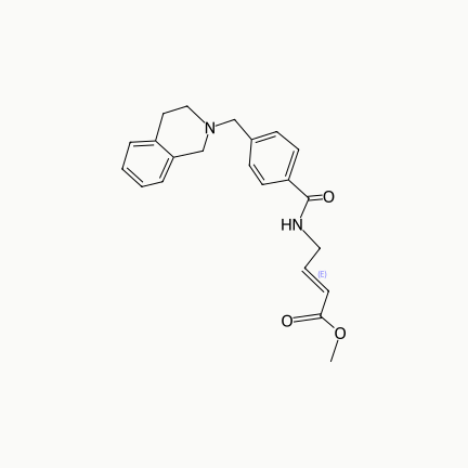 COC(=O)/C=C/CNC(=O)c1ccc(CN2CCc3ccccc3C2)cc1